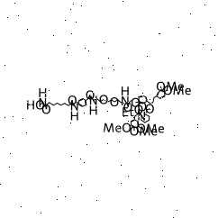 CC[C@H](C(=O)N1CCCC[C@@H]1C(=O)O[C@H](CCc1ccc(OC)c(OC)c1)c1cccc(OCC(=O)NCCOCCOCCNC(=O)c2ccc(NC(=O)CCCCCCC(=O)NO)cc2)c1)c1cc(OC)c(OC)c(OC)c1